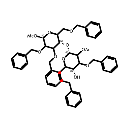 CO[C@H]1OC(COCc2ccccc2)[C@H](O[C@H]2OC(COCc3ccccc3)[C@@H](O)C(OCc3ccccc3)C2OC(C)=O)C(OCc2ccccc2)C1OCc1ccccc1